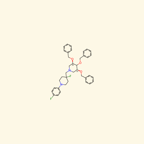 Fc1ccc(N2CCC(F)(CN3C[C@H](OCc4ccccc4)C(OCc4ccccc4)[C@H](OCc4ccccc4)C3)CC2)cc1